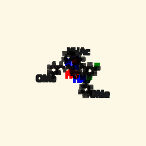 COc1cccc(CC[C@@H](C(=O)N[C@@H](Cc2cc(F)cc(F)c2)[C@H](O)CNCc2cccc(OC)c2)N2CC[C@](CC3CC3)(NC(C)=O)C2=O)c1